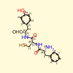 N[C@H](Cc1ccccc1)C(=O)N[C@@H](CS)C(=O)N[C@H]([C]=O)Cc1ccc(O)cc1